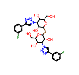 OC[C@H]1OC(SC2O[C@H](CO)[C@H](O)[C@H](n3cc(-c4cccc(F)c4)nn3)[C@H]2O)[C@H](O)[C@@H](n2cc(-c3cccc(F)c3)nn2)[C@H]1O